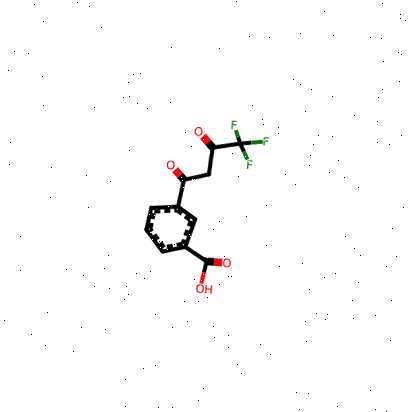 O=C(O)c1cccc(C(=O)CC(=O)C(F)(F)F)c1